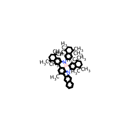 Cc1cc2c3c4c1c1cc5ccccc5cc1n4-c1cc4c(cc1B3N(c1ccc3c(c1)C(C)(C)CCC3(C)C)c1cc3c(cc1-2)C(C)(C)CCC3(C)C)C(C)(C)CCC4(C)C